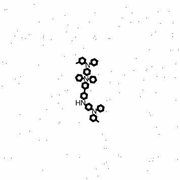 Cc1cccc(N(c2ccccc2)c2ccc(Nc3ccc(-c4ccc([N+](c5ccccc5)(c5ccccc5)c5ccc(N(c6ccccc6)c6cccc(C)c6)cc5)cc4)cc3)cc2)c1